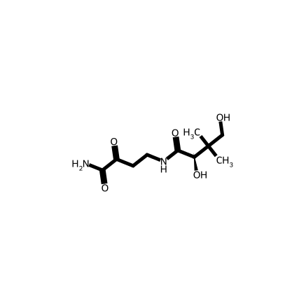 CC(C)(CO)[C@@H](O)C(=O)NCCC(=O)C(N)=O